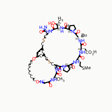 CC[C@H](C)[C@@H]1NC(=O)[C@H](CC(=O)O)NC(=O)[C@H](CCSC)NC(=O)[C@@H]2CCCN2C(=O)[C@@H]2CSCc3cc(cc(c3)OCCCCCCO/N=C/C(=O)N[C@@H](C)C(=O)N2)CSC[C@@H](C(N)=O)NC(=O)[C@H]([C@@H](C)O)NC(=O)[C@@H]2CCCN2C1=O